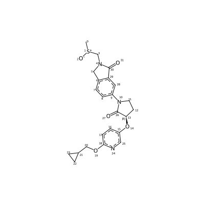 C[S+]([O-])CN1Cc2ccc(N3CC[C@@H](Oc4ccc(OCC5CC5)nc4)C3=O)cc2C1=O